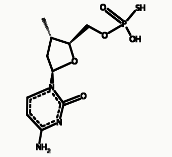 C[C@H]1C[C@H](n2ccc(N)nc2=O)O[C@@H]1COP(=O)(O)S